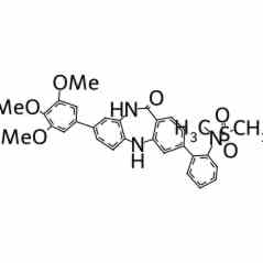 COc1cc(-c2ccc3c(c2)NC(=O)c2ccc(-c4ccccc4N(C)S(C)(=O)=O)cc2N3)cc(OC)c1OC